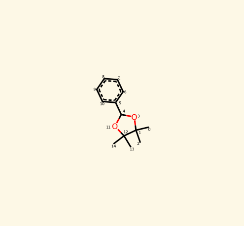 CC1(C)OC(c2c[c]ccc2)OC1(C)C